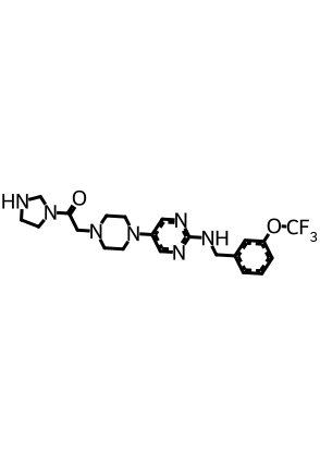 O=C(CN1CCN(c2cnc(NCc3cccc(OC(F)(F)F)c3)nc2)CC1)N1CCNC1